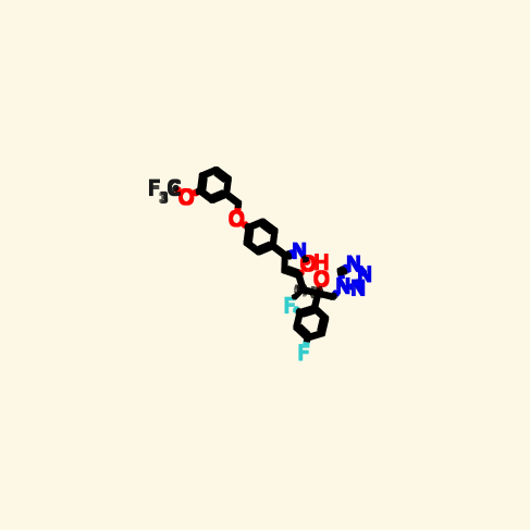 C[C@@H](c1cc(-c2ccc(OCc3cccc(OC(F)(F)F)c3)cc2)no1)[C@](O)(Cn1cnnn1)c1ccc(F)cc1F